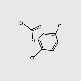 CCC(=O)CC.Clc1ccc(Cl)cc1